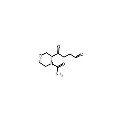 NC(=O)N1CCOCC1C(=O)CCC=O